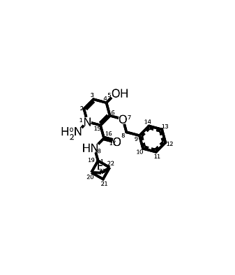 NN1C=CC(O)C(OCc2ccccc2)=C1C(=O)NC1C2CC1C2F